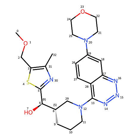 COCc1sc([C@H](O)[C@H]2CCCN(c3nnnc4cc(N5CCOCC5)ccc34)C2)nc1C